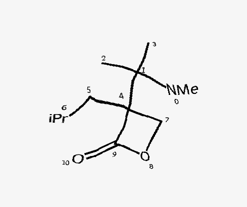 CNC(C)(C)C1(CC(C)C)COC1=O